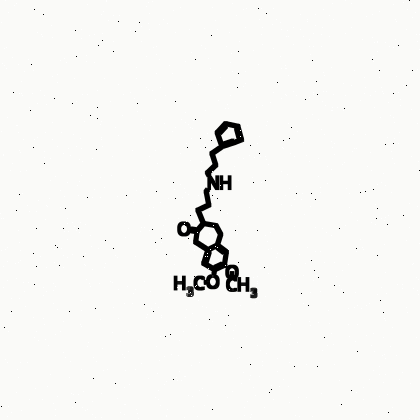 COc1cc2c(cc1OC)CC(=O)C(CCCNCCCc1ccccc1)CC2